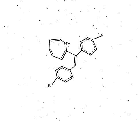 Fc1ccc(/C(=C/c2ccc(Br)cc2)C2=CC=CC=CN2)cc1